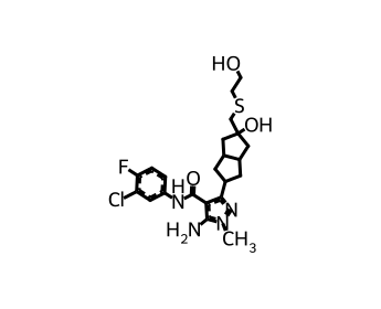 Cn1nc(C2CC3CC(O)(CSCCO)CC3C2)c(C(=O)Nc2ccc(F)c(Cl)c2)c1N